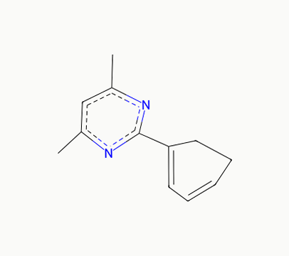 Cc1cc(C)nc(C2=CC=CCC2)n1